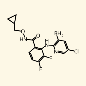 Bc1cc(Cl)cnc1Nc1c(C(=O)NOCC2CC2)ccc(F)c1F